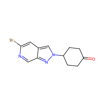 O=C1CCC(n2cc3cc(Br)ncc3n2)CC1